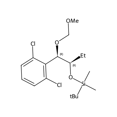 CC[C@@H](O[Si](C)(C)C(C)(C)C)[C@H](OCOC)c1c(Cl)cccc1Cl